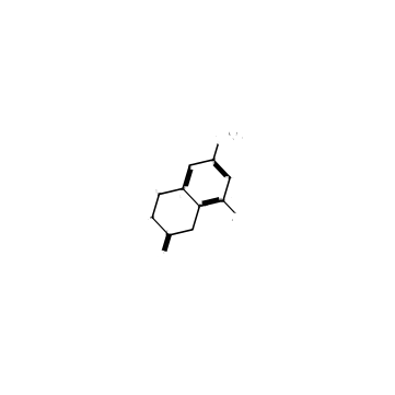 COc1cc(F)c2c(c1)CCC(=O)C2